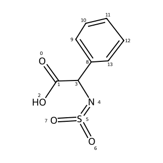 O=C(O)C(N=S(=O)=O)c1ccccc1